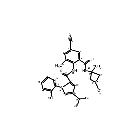 Cc1cc(C#N)cc(C(=O)NC2(C)C[S+]([O-])C2)c1NC(=O)c1cc(C(F)F)nn1-c1ncccc1Cl